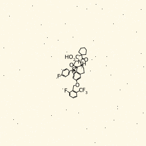 O=C(O)C1(C(=O)N2CC[C@@]3(S(=O)(=O)c4ccc(F)cc4)c4ccc(OCc5c(F)cccc5C(F)(F)F)cc4CC[C@@H]23)CCCCC1